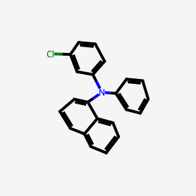 Clc1cccc(N(c2ccccc2)c2cccc3ccccc23)c1